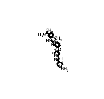 CC(C)c1cccc(Nc2nc3cc(Oc4ccnc(NC(=O)C5CCN(C)CC5)c4)ccc3n2C)c1